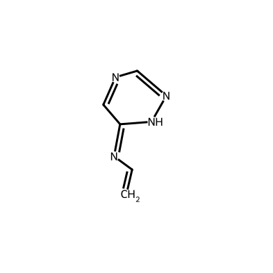 C=C/N=c1/cncn[nH]1